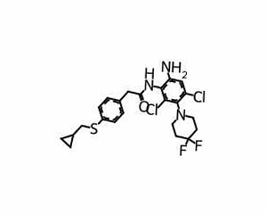 Nc1cc(Cl)c(N2CCC(F)(F)CC2)c(Cl)c1NC(=O)Cc1ccc(SCC2CC2)cc1